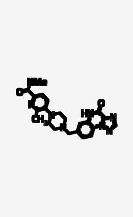 CNC(=O)c1ccc(N2CCN(Cc3ccc4c(c3)[nH]c(=O)c3ncnn34)CC2)c(C)n1